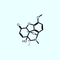 COc1ccc2c3c1OC1C(=O)C=CC4(O)[C@@H](C)N(C)C2C[C@]314